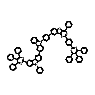 c1ccc(-c2nc(-c3ccc(-c4nc(-c5ccccc5)c5sc6ccc(-c7ccc(-n8c9ccccc9c9cc(-c%10ccc%11c(c%10)c%10cc(-c%12nc(-c%13ccccc%13)c(-c%13ccccc%13)c(-c%13ccccc%13)n%12)ccc%10n%11-c%10ccccc%10)ccc98)cc7)cc6c5n4)cc3)nc(-c3ccccc3)c2-c2ccccc2)cc1